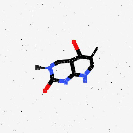 Cc1c[nH]c2nc(=O)n(C(C)C)cc2c1=O